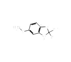 NSc1ccc2c(c1)OC(F)(F)O2